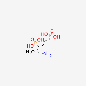 CC(CN)C(CCCP(=O)(O)O)P(=O)(O)O